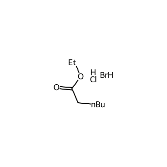 Br.CCCCCC(=O)OCC.Cl